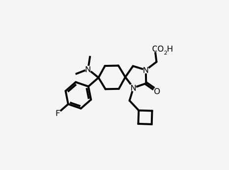 CN(C)C1(c2ccc(F)cc2)CCC2(CC1)CN(CC(=O)O)C(=O)N2CC1CCC1